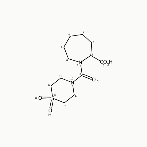 O=C(O)C1CCCCCN1C(=O)N1CCS(=O)(=O)CC1